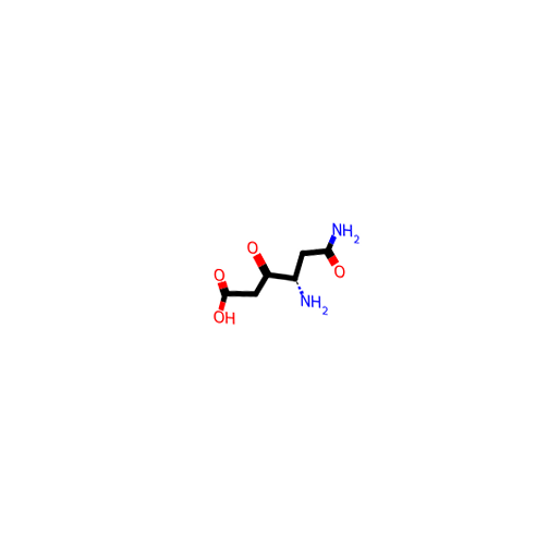 NC(=O)C[C@H](N)C(=O)CC(=O)O